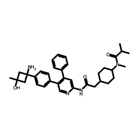 CC(C)C(=O)N(C)C1CCC(CC(=O)Nc2cc(-c3ccccc3)c(-c3ccc(C4(N)CC(C)(O)C4)cc3)cn2)CC1